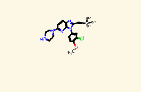 CC(C)[Si](C#Cc1nc2ccc(N3CCNCC3)nc2n1-c1ccc(OC(F)(F)F)c(Cl)c1)(C(C)C)C(C)C